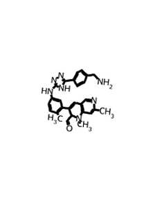 Cc1cc2c(cn1)C=C(c1cc(Nc3nnc(-c4ccc(CN)cc4)[nH]3)ccc1C)C(C=O)N2C